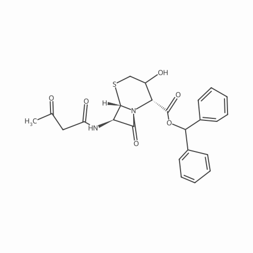 CC(=O)CC(=O)N[C@@H]1C(=O)N2[C@@H](C(=O)OC(c3ccccc3)c3ccccc3)C(O)CS[C@@H]12